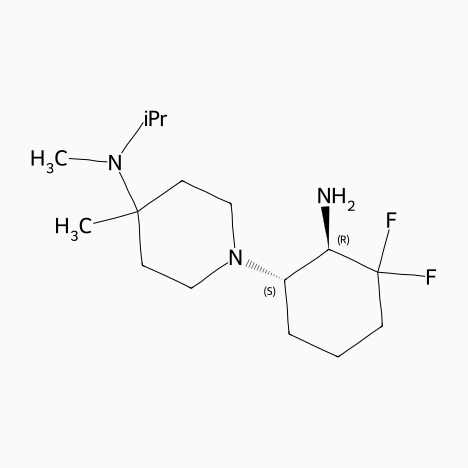 CC(C)N(C)C1(C)CCN([C@H]2CCCC(F)(F)[C@@H]2N)CC1